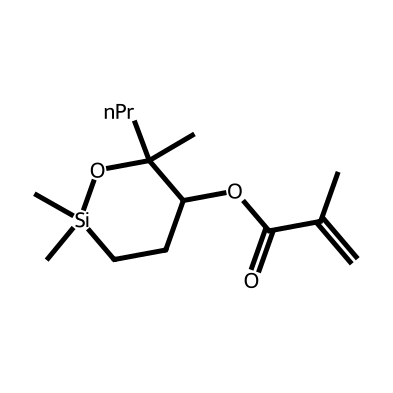 C=C(C)C(=O)OC1CC[Si](C)(C)OC1(C)CCC